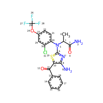 CC(C(N)=O)N(c1nc(N)c(C(=O)c2ccccc2)s1)c1ccc(OC(F)(F)F)cc1Cl